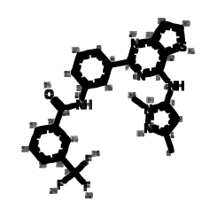 Cc1cc(Nc2nc(-c3cccc(NC(=O)c4cccc(C(F)(F)F)c4)c3)nc3ccsc23)n(C)n1